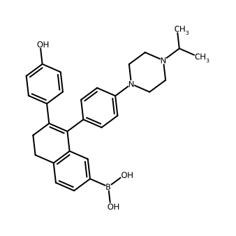 CC(C)N1CCN(c2ccc(C3=C(c4ccc(O)cc4)CCc4ccc(B(O)O)cc43)cc2)CC1